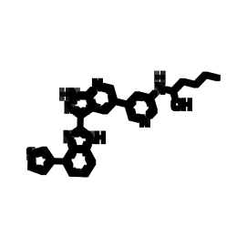 CCCCC(O)Nc1cncc(-c2cnc3[nH]nc(-c4nc5c(-c6ccsc6)cccc5[nH]4)c3c2)c1